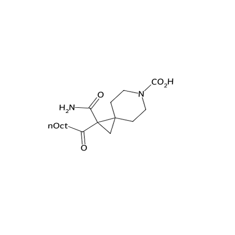 CCCCCCCCC(=O)C1(C(N)=O)CC12CCN(C(=O)O)CC2